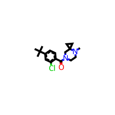 CN1CCN(C(=O)c2ccc(C(C)(C)C)cc2Cl)CC12CC2